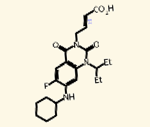 CCC(CC)n1c(=O)n(C/C=C/C(=O)O)c(=O)c2cc(F)c(NC3CCCCC3)cc21